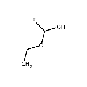 CCO[C](O)F